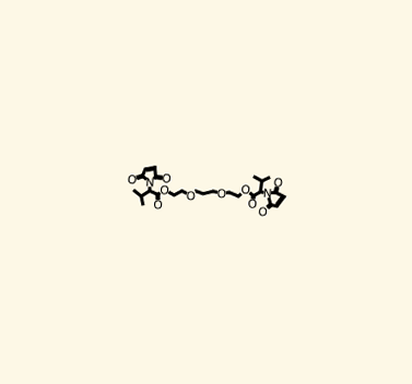 CC(C)C(C(=O)OCCOCCCOCCOC(=O)C(C(C)C)N1C(=O)C=CC1=O)N1C(=O)C=CC1=O